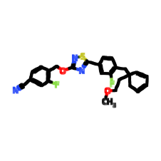 COCCC1(Cc2ccc(-c3nc(OCc4ccc(C#N)cc4F)ns3)cc2F)C=CC=CC1